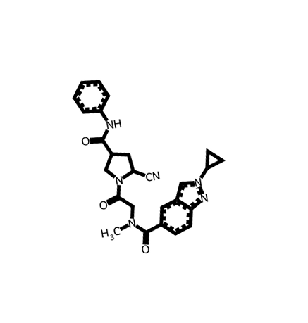 CN(CC(=O)N1CC(C(=O)Nc2ccccc2)CC1C#N)C(=O)c1ccc2nn(C3CC3)cc2c1